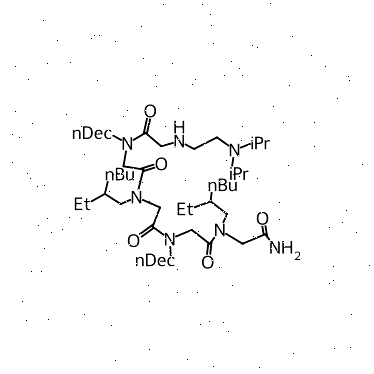 CCCCCCCCCCN(CC(=O)N(CC(=O)N(CCCCCCCCCC)CC(=O)N(CC(N)=O)CC(CC)CCCC)CC(CC)CCCC)C(=O)CNCCN(C(C)C)C(C)C